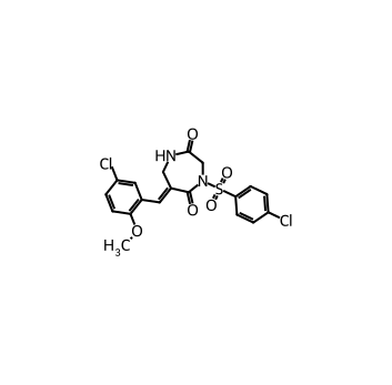 COc1ccc(Cl)cc1/C=C1\CNC(=O)CN(S(=O)(=O)c2ccc(Cl)cc2)C1=O